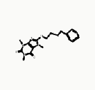 Cn1c(=O)c2c(nc(OCCCCc3ccccc3)n2C)n(C)c1=O